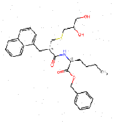 CCCC[C@H](NC(=O)[C@@H](CSCC(O)CO)Cc1cccc2ccccc12)C(=O)OCc1ccccc1